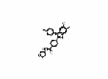 Cc1ccc(-n2c(N3CCC(C(=O)N[C@H]4CCOC4)CC3)nc3cc(C)c(Cl)cc32)cc1